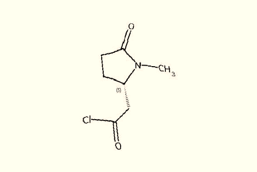 CN1C(=O)CC[C@H]1CC(=O)Cl